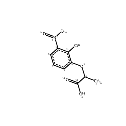 CC(Oc1cccc([N+](=O)[O-])c1Cl)C(=O)O